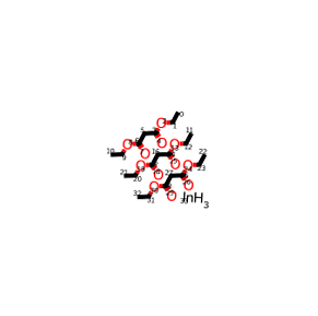 CCOC(=O)CC(=O)OCC.CCOC(=O)CC(=O)OCC.CCOC(=O)CC(=O)OCC.[InH3]